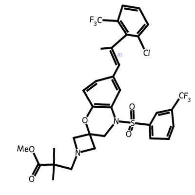 COC(=O)C(C)(C)CN1CC2(C1)CN(S(=O)(=O)c1cccc(C(F)(F)F)c1)c1cc(/C=C(\C)c3c(Cl)cccc3C(F)(F)F)ccc1O2